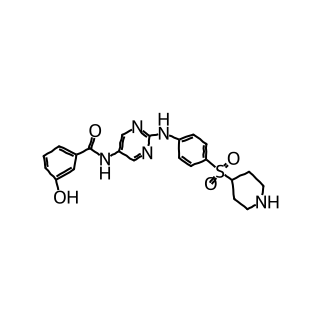 O=C(Nc1cnc(Nc2ccc(S(=O)(=O)C3CCNCC3)cc2)nc1)c1cccc(O)c1